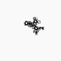 C[C@H](C(=O)O[C@H](Cc1c(Cl)c[n+]([O-])cc1Cl)c1ccc(OC(F)F)c(OCC2CC2)c1)N(C)S(=O)(=O)c1ccccc1